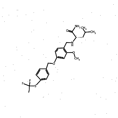 COc1cc(OCc2ccc(SC(F)(F)F)cc2)ccc1CN[C@@H](CC(C)C)C(N)=O